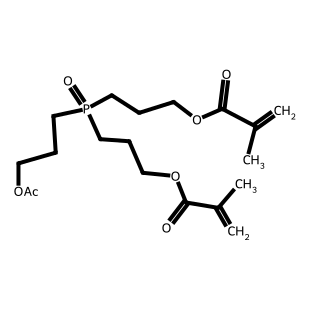 C=C(C)C(=O)OCCCP(=O)(CCCOC(C)=O)CCCOC(=O)C(=C)C